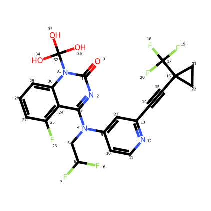 O=c1nc(N(CC(F)F)c2ccnc(C#CC3(C(F)(F)F)CC3)c2)c2c(F)cccc2n1C(O)(O)O